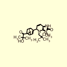 Cn1c2c([nH]c1=O)C=CC(C1=CC3CCC1CN3C(=O)C(C)(C)O)N2CC(C)(C)C